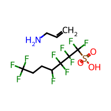 C=CCN.O=S(=O)(O)C(F)(F)C(F)(F)C(F)(F)C(F)CCC(F)(F)F